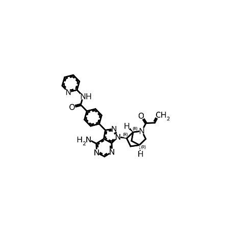 C=CC(=O)N1C[C@@H]2C[C@@H]1[C@H](n1nc(-c3ccc(C(=O)Nc4ccccn4)cc3)c3c(N)ncnc31)C2